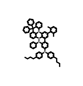 CCCCc1ccc(N(c2ccc(CCCC)cc2)c2ccc3c(c2)N(c2ccccc2)B2c4cccc5c4N(c4ccccc4C5(c4ccccc4)c4ccccc4)c4cc(-c5c(C)cccc5C)cc-3c42)cc1